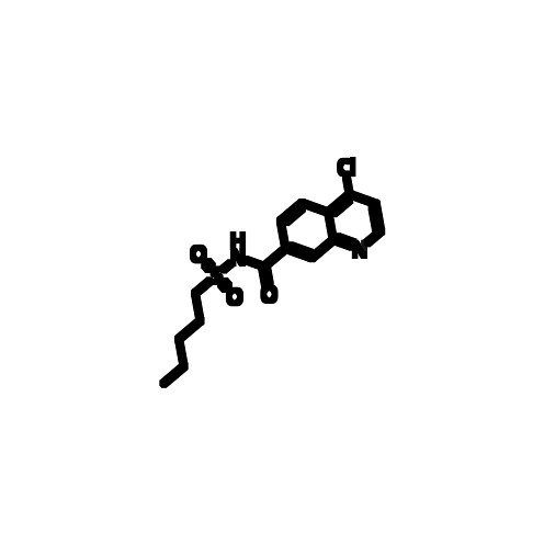 CCCCCS(=O)(=O)NC(=O)c1ccc2c(Cl)ccnc2c1